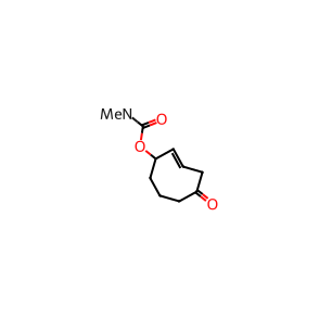 CNC(=O)OC1/C=C/CC(=O)CCC1